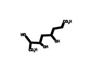 O=C(O)CCC(O)CC(O)C(O)C(=O)O